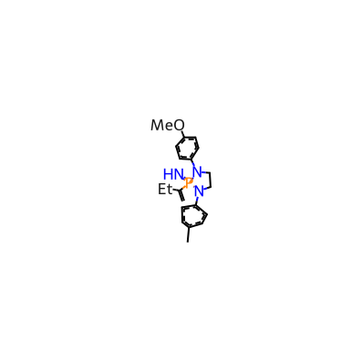 C=C(CC)P1(=N)N(c2ccc(C)cc2)CCN1c1ccc(OC)cc1